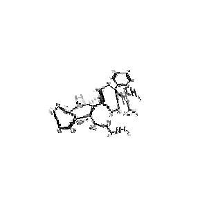 CN(C)C1(c2ccccc2)CC=C(c2[nH]c3ccccc3c2CCCN)CC1